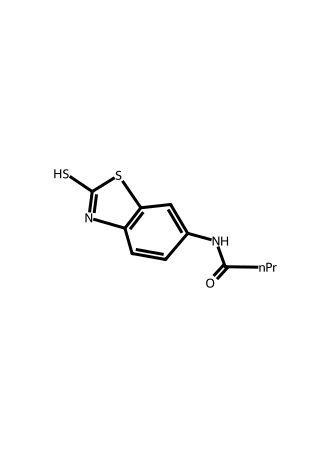 CCCC(=O)Nc1ccc2nc(S)sc2c1